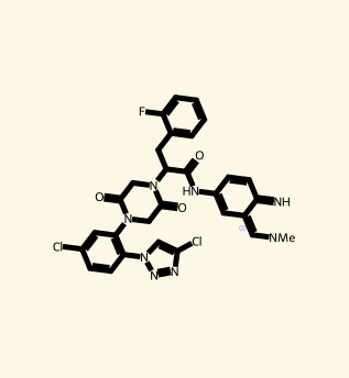 CN/C=C1/C=C(NC(=O)C(Cc2ccccc2F)N2CC(=O)N(c3cc(Cl)ccc3-n3cc(Cl)nn3)CC2=O)C=CC1=N